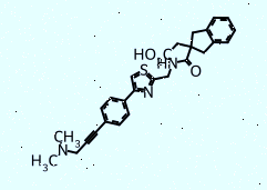 CN(C)CC#Cc1ccc(-c2csc(CNC(=O)C3(CC(=O)O)Cc4ccccc4C3)n2)cc1